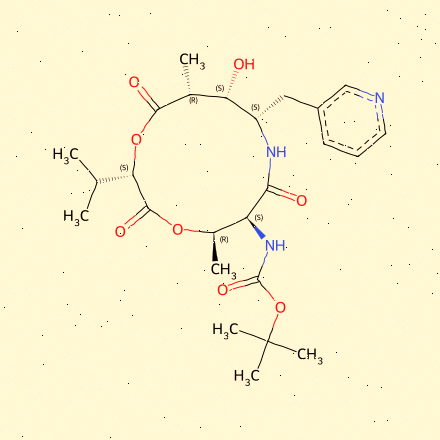 CC(C)[C@@H]1OC(=O)[C@H](C)[C@H](O)[C@H](Cc2cccnc2)NC(=O)[C@@H](NC(=O)OC(C)(C)C)[C@@H](C)OC1=O